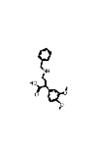 COc1ccc(C(CCNCc2ccccc2)C(=O)O)cc1OC